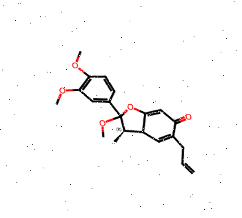 C=CCC1=CC2C(=CC1=O)OC(OC)(c1ccc(OC)c(OC)c1)[C@@H]2C